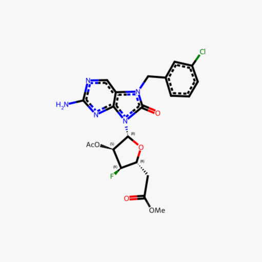 COC(=O)C[C@H]1O[C@@H](n2c(=O)n(Cc3cccc(Cl)c3)c3cnc(N)nc32)[C@H](OC(C)=O)[C@@H]1F